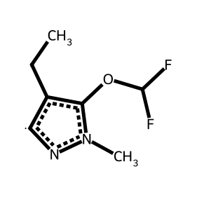 CCc1[c]nn(C)c1OC(F)F